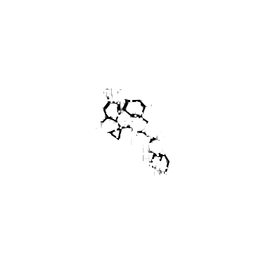 O=C(NC1CN2CCC1CC2)[C@H](Cc1ccc(C(F)(F)F)cc1)NC(=O)C1(c2ccc(Cl)cc2Cl)CC1